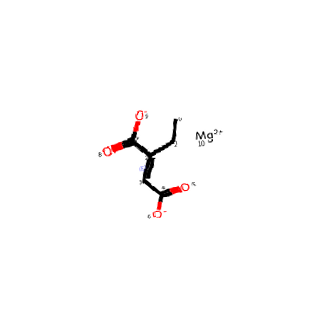 CC/C(=C\C(=O)[O-])C(=O)[O-].[Mg+2]